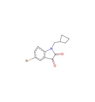 O=C1C(=O)N(CC2CCC2)c2ccc(Br)cc21